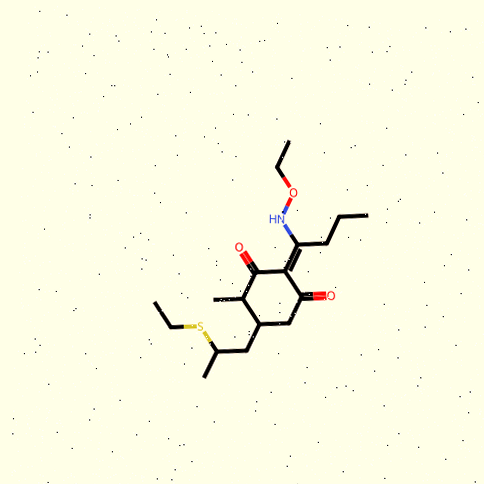 CCCC(NOCC)=C1C(=O)CC(CC(C)SCC)C(C)C1=O